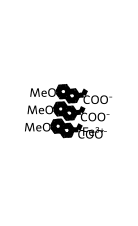 COc1ccc2cc(C(C)C(=O)[O-])ccc2c1.COc1ccc2cc(C(C)C(=O)[O-])ccc2c1.COc1ccc2cc(C(C)C(=O)[O-])ccc2c1.[Fe+3]